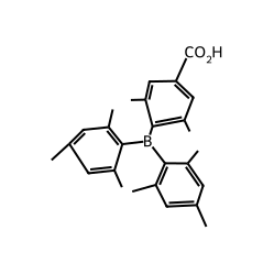 Cc1cc(C)c(B(c2c(C)cc(C)cc2C)c2c(C)cc(C(=O)O)cc2C)c(C)c1